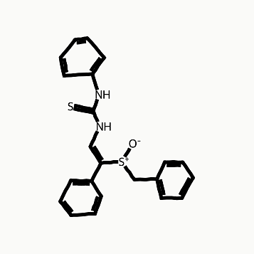 [O-][S+](Cc1ccccc1)/C(=C\NC(=S)Nc1ccccc1)c1ccccc1